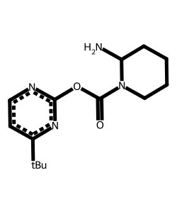 CC(C)(C)c1ccnc(OC(=O)N2CCCCC2N)n1